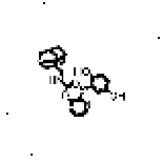 O=C(NCC12CC3CC(CC(C3)C1)C2)Oc1cccnc1Sc1cc(O)ccc1O